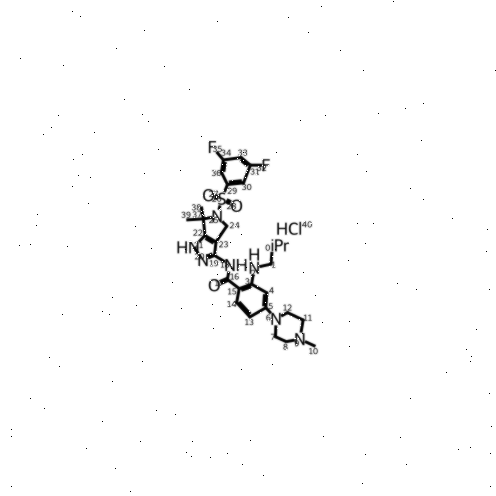 CC(C)CNc1cc(N2CCN(C)CC2)ccc1C(=O)Nc1n[nH]c2c1CN(S(=O)(=O)c1cc(F)cc(F)c1)C2(C)C.Cl